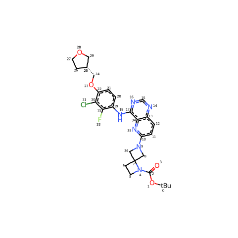 CC(C)(C)OC(=O)N1CCC12CN(c1ccc3ncnc(Nc4ccc(OC[C@@H]5CCOC5)c(Cl)c4F)c3n1)C2